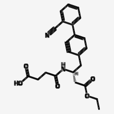 CCOC(=O)C[C@@H](Cc1c#cc(-c2ccccc2C#N)cc1)NC(=O)CCC(=O)O